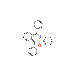 O=S1(c2ccccc2)=NC(c2ccccc2)=c2ccccc2=C1c1ccccc1